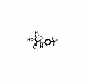 [C-]#[N+]/C(C(=O)Nc1ccc(C(F)(F)F)cc1)=C(/C)O